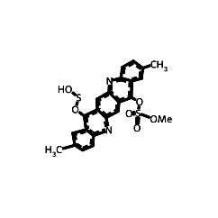 COS(=O)(=O)Oc1c2cc(C)ccc2nc2cc3c(OSO)c4cc(C)ccc4nc3cc12